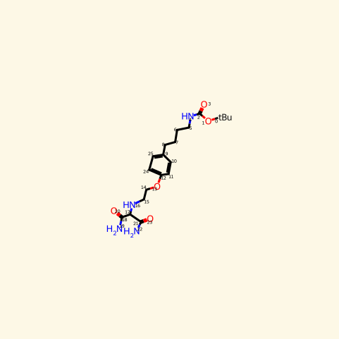 CC(C)(C)OC(=O)NCCCCc1ccc(OCCNC(C(N)=O)C(N)=O)cc1